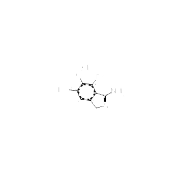 COc1c(O)cc2c(c1F)C(N)=NC2